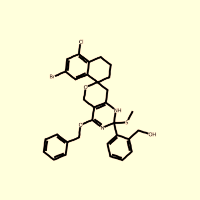 CSC1(c2ccccc2CO)N=C(OCc2ccccc2)C2=C(CC3(CCCc4c(Cl)cc(Br)cc43)OC2)N1